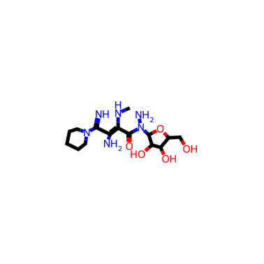 CN/C(C(=O)N(N)C1OC(CO)C(O)C1O)=C(/N)C(=N)N1CCCCC1